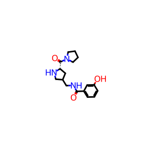 O=C(NCC1CN[C@H](C(=O)N2CCCC2)C1)c1cccc(O)c1